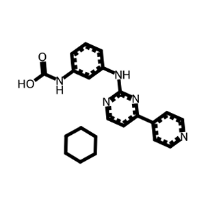 C1CCCCC1.O=C(O)Nc1cccc(Nc2nccc(-c3ccncc3)n2)c1